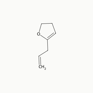 C=CCC1=CCCO1